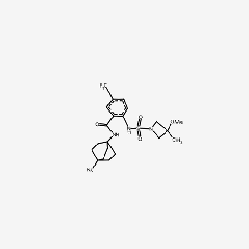 COC1(C)CN(S(=O)(=O)Nc2ccc(C(F)(F)F)cc2C(=O)NC23CCC(C#N)(CC2)CC3)C1